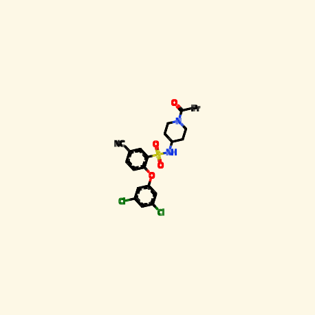 CC(C)C(=O)N1CCC(NS(=O)(=O)c2cc(C#N)ccc2Oc2cc(Cl)cc(Cl)c2)CC1